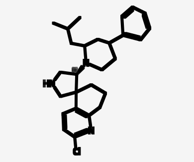 CC(C)CC1CC(c2ccccc2)CCN1[C@@H]1CNCC12CCCc1nc(Cl)ccc12